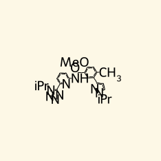 COc1cc(C)c(-c2ccn(C(C)C)n2)cc1C(=O)Nc1cccc(-c2nnnn2C(C)C)n1